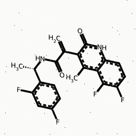 C=C(C(=O)N[C@@H](C)c1ccc(F)cc1F)c1c(C)c2c(F)c(F)ccc2[nH]c1=O